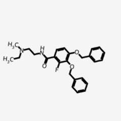 CCN(C)CCNC(=O)c1ccc(OCc2ccccc2)c(OCc2ccccc2)c1F